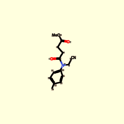 COC(=O)CCC(=O)N(CC#N)c1ccc(C)cc1